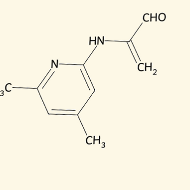 C=C(C=O)Nc1cc(C)cc(C)n1